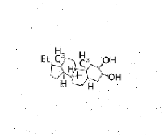 CC[C@H]1CC[C@H]2[C@@H]3CC[C@@H]4C[C@H](O)[C@H](O)C[C@]4(C)[C@H]3CC[C@]12C